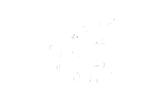 CC(C)(C)c1c(C(F)F)nc2n1CCCC2